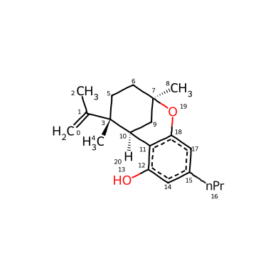 C=C(C)[C@]1(C)CC[C@]2(C)C[C@H]1c1c(O)cc(CCC)cc1O2